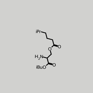 CC(C)CCCC(=O)OCC(N)C(=O)OCC(C)C